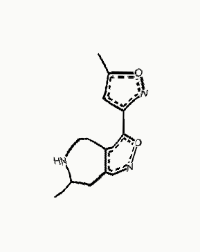 Cc1cc(-c2onc3c2CNC(C)C3)no1